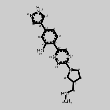 CNCC1CCN(c2ncc(-c3ccc(-c4cn[nH]c4)cc3O)nn2)C1